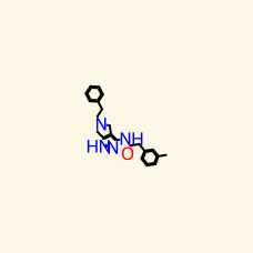 Cc1cccc(CC(=O)Nc2n[nH]c3c2CN(CCc2ccccc2)C3)c1